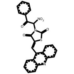 O=C(c1ccccc1)C(N1C(=O)SC(=Cc2c3ccccc3nc3ccccc23)C1=O)[N+](=O)[O-]